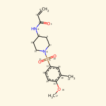 C=CC(=O)NC1CCN(S(=O)(=O)c2ccc(OC)c(C)c2)CC1